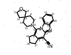 N#Cc1c2c(c(N3CCC4(CCOC4)CC3)n3c1nc1ccccc13)CCC2